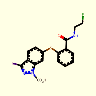 O=C(NCCF)c1ccccc1Sc1ccc2c(I)nn(C(=O)O)c2c1